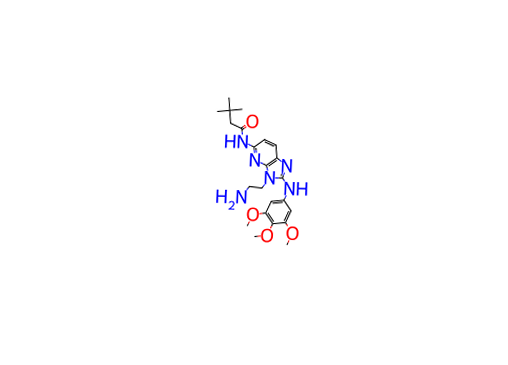 COc1cc(Nc2nc3ccc(NC(=O)CC(C)(C)C)nc3n2CCN)cc(OC)c1OC